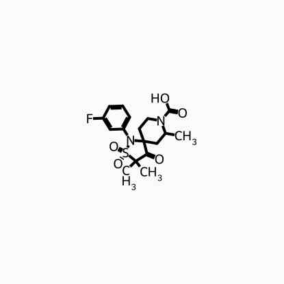 CC1CC2(CCN1C(=O)O)C(=O)C(C)(C)S(=O)(=O)N2c1cccc(F)c1